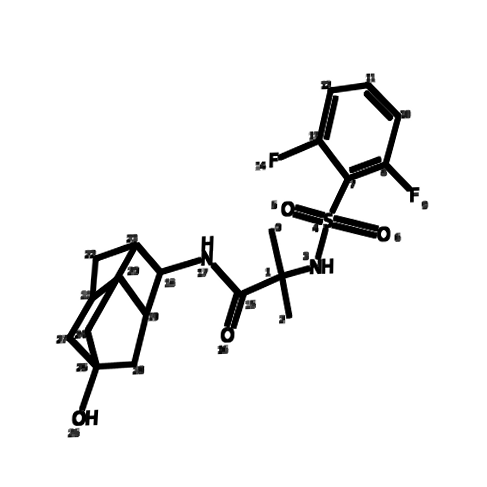 CC(C)(NS(=O)(=O)c1c(F)cccc1F)C(=O)NC1C2CC3CC1CC(O)(C3)C2